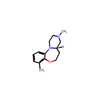 Cc1cccc2c1OCC[C@H]1CN(C)CCN21